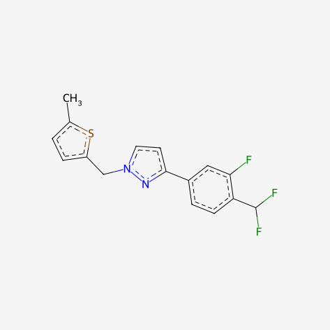 Cc1ccc(Cn2ccc(-c3ccc(C(F)F)c(F)c3)n2)s1